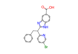 O=C(O)c1ccc2[nH]c(C(Cc3ccccc3)c3ccc(Br)cn3)nc2c1